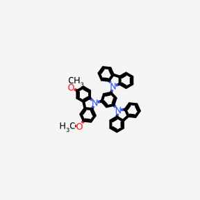 COc1ccc2c(c1)c1cc(OC)ccc1n2-c1cc(-n2c3ccccc3c3ccccc32)cc(-n2c3ccccc3c3ccccc32)c1